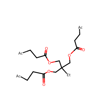 CCC(COC(=O)CCC(C)=O)(COC(=O)CCC(C)=O)COC(=O)CCC(C)=O